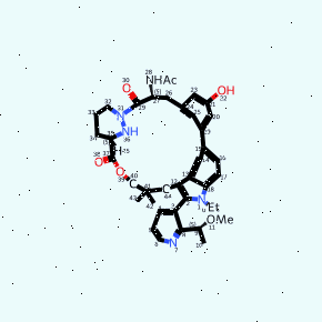 CCn1c(-c2cccnc2[C@H](C)OC)c2c3cc(ccc31)-c1cc(O)cc(c1)C[C@H](NC(C)=O)C(=O)N1CCC[C@H](N1)C(=O)OCC(C)(C)C2